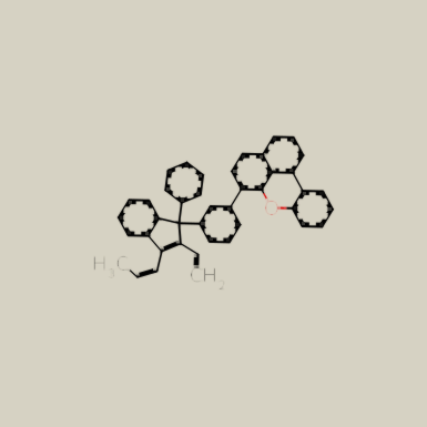 C=CC1=C(/C=C\C)c2ccccc2C1(c1ccccc1)c1cccc(-c2ccc3cccc4c3c2Oc2ccccc2-4)c1